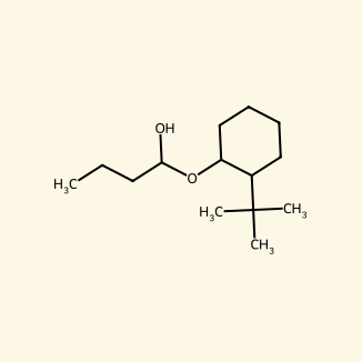 CCCC(O)OC1CCCCC1C(C)(C)C